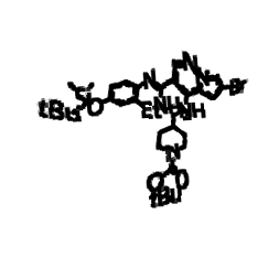 CCc1cc(O[Si](C)(C)C(C)(C)C)ccc1/N=C(\N)c1cnn2cc(Br)cc2c1NCC1CCN(C(=O)OC(C)(C)C)CC1